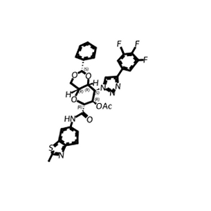 CC(=O)O[C@@H]1[C@@H](n2cc(-c3cc(F)c(F)c(F)c3)nn2)[C@H]2O[C@@H](c3ccccc3)OC[C@H]2O[C@H]1C(=O)Nc1ccc2nc(C)sc2c1